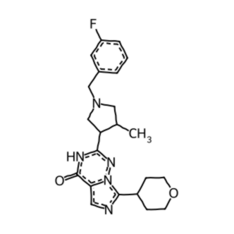 CC1CN(Cc2cccc(F)c2)CC1c1nn2c(C3CCOCC3)ncc2c(=O)[nH]1